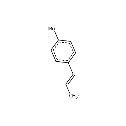 [CH2]/C=C/c1ccc(C(C)(C)C)cc1